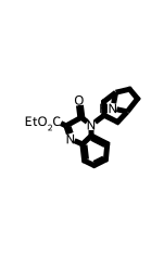 CCOC(=O)c1nc2ccccc2n(C2CC3CCC(C2)N3)c1=O